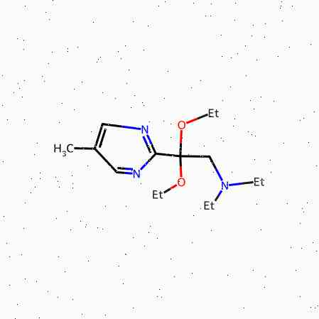 CCOC(CN(CC)CC)(OCC)c1ncc(C)cn1